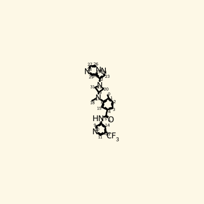 Cc1ccc(C(=O)Nc2cncc(C(F)(F)F)c2)cc1N(C)C1CN(c2cnn3ccncc23)C1